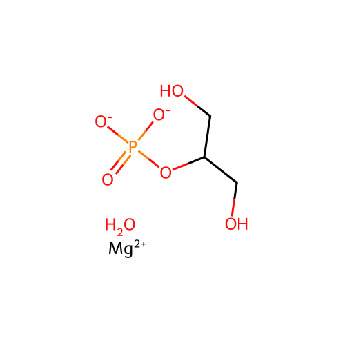 O.O=P([O-])([O-])OC(CO)CO.[Mg+2]